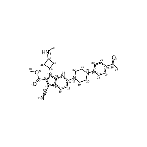 CNC1CC(n2c(C(=O)OC)c(C#N)c3ccc(N4CCN(c5ccc(C(C)=O)cc5)CC4)nc32)C1